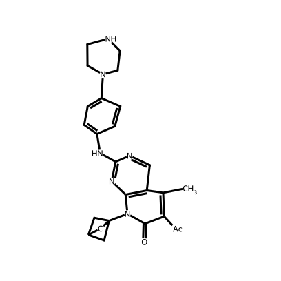 CC(=O)c1c(C)c2cnc(Nc3ccc(N4CCNCC4)cc3)nc2n(C23CC(C2)C3)c1=O